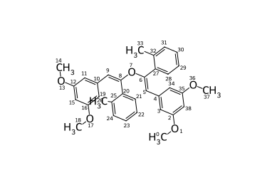 COc1cc(/C=C(/O/C(=C/c2cc(OC)cc(OC)c2)c2ccccc2C)c2ccccc2C)cc(OC)c1